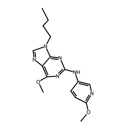 CCCCn1cnc2c(OC)nc(Nc3ccc(OC)nc3)nc21